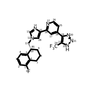 Fc1cccc2c1CCC[C@H]2Cn1cnc(-c2cc(-c3nn[nH]c3C(F)(F)F)ccn2)c1